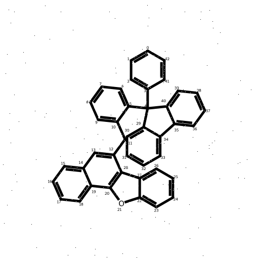 c1ccc(C2(c3ccccc3Cc3cc4ccccc4c4oc5ccccc5c34)c3ccccc3-c3ccccc32)cc1